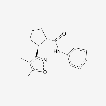 Cc1onc([C@H]2CCC[C@@H]2C(=O)Nc2ccccc2)c1C